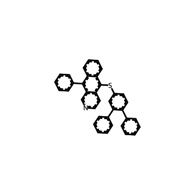 c1ccc(-c2ccc(Sc3c4ccccc4c(-c4ccccc4)c4cnccc34)cc2-c2ccccc2)cc1